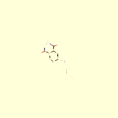 NCC(O)CNc1ccc2c(=O)[nH][nH]c(=O)c2c1